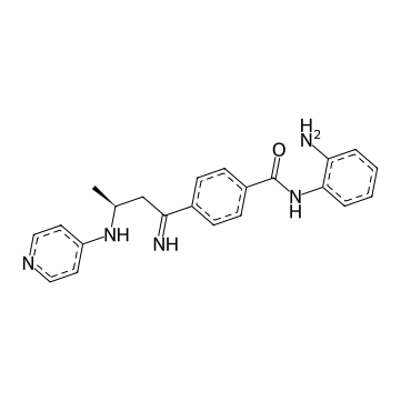 C[C@@H](CC(=N)c1ccc(C(=O)Nc2ccccc2N)cc1)Nc1ccncc1